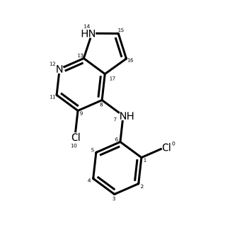 Clc1ccccc1Nc1c(Cl)cnc2[nH]ccc12